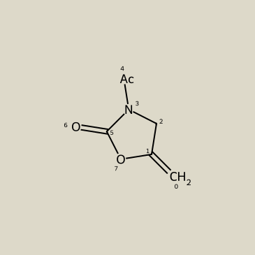 C=C1CN(C(C)=O)C(=O)O1